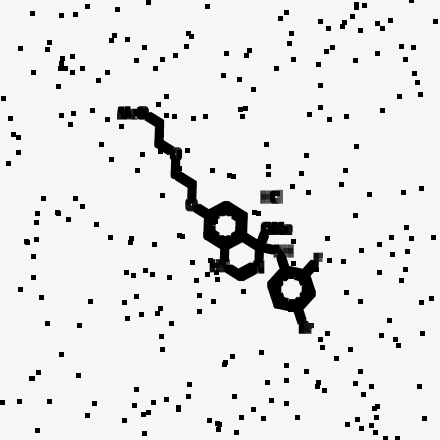 COCCOCCOc1ccc2c(c1)NC=NC2(Nc1ccc(Br)cc1F)OC.Cl